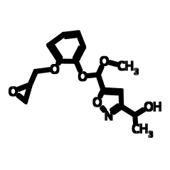 COC(Oc1ccccc1OCC1CO1)c1cc(C(C)O)no1